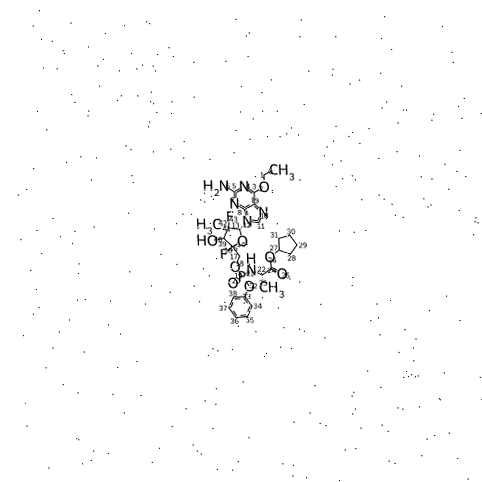 CCOc1nc(N)nc2c1ncn2[C@@H]1O[C@](F)(COP(=O)(N[C@@H](C)C(=O)OC2CCCC2)Oc2ccccc2)[C@@H](O)[C@@]1(C)F